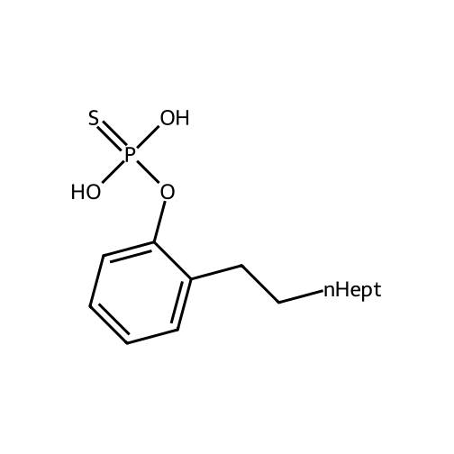 CCCCCCCCCc1ccccc1OP(O)(O)=S